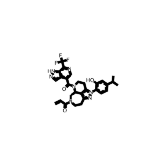 C=CC(=O)N1CCc2nn(-c3ccc(C(C)C)cc3O)c3c2C(C1)N(C(=O)c1cnc(C(F)(F)F)c2[nH]ncc12)CC3